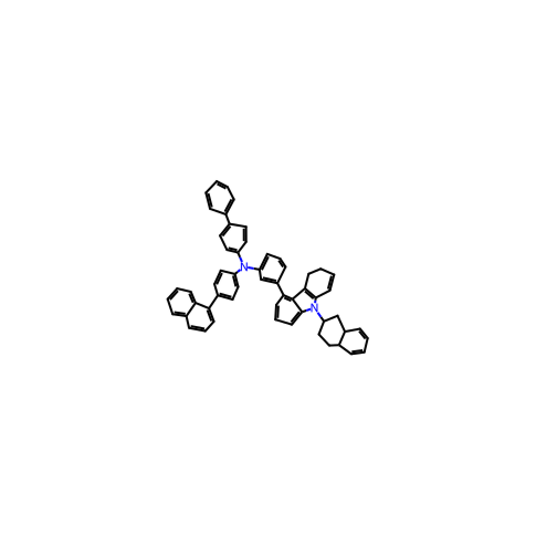 C1=CC2CCC(n3c4c(c5c(-c6cccc(N(c7ccc(-c8ccccc8)cc7)c7ccc(-c8cccc9ccccc89)cc7)c6)cccc53)CCC=C4)CC2C=C1